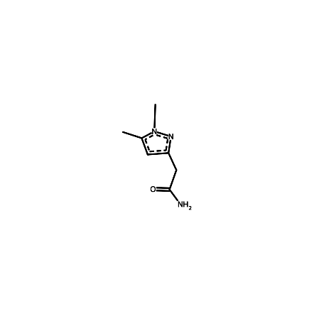 Cc1cc(CC(N)=O)nn1C